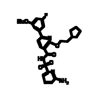 CC(C)COc1cc(F)cc(-c2ccc(C(=O)NS(=O)(=O)c3cccc(N)n3)c(OCCC3CCCC3)n2)c1